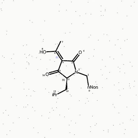 CCCCCCCCCCN1C(=O)/C(=C(\C)O)C(=O)[C@@H]1CC(C)C